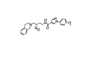 COc1ccc(-n2cc(C(=O)NCCC(CN3CCc4ccccc4C3)N=O)cn2)cc1